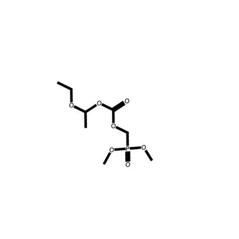 CCOC(C)OC(=O)OCP(=O)(OC)OC